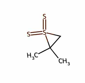 CC1(C)CS1(=S)=S